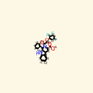 COC(=O)[C@@H]1Cc2c([nH]c3ccccc23)C(c2ccccc2)N1C(=O)COc1cc(F)cc(F)c1F